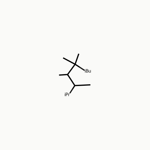 CCC(C)C(C)(C)[C](C)C(C)C(C)C